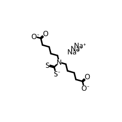 O=C([O-])CCCCN(CCCCC(=O)[O-])C(=S)[S-].[Na+].[Na+].[Na+]